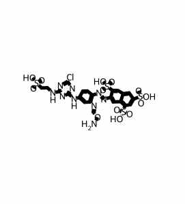 NOC=Nc1cc(Nc2nc(Cl)nc(NCCS(=O)(=O)O)n2)ccc1/N=N/c1cc2c(S(=O)(=O)O)cc(S(=O)(=O)O)cc2cc1S(=O)(=O)O